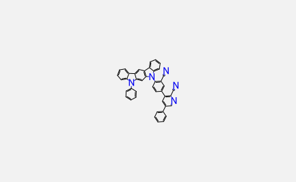 N#Cc1cc(-c2cc(-c3ccccc3)cnc2C#N)ccc1-n1c2ccccc2c2cc3c4ccccc4n(-c4ccccc4)c3cc21